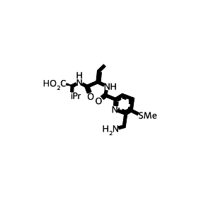 C/C=C(\NC(=O)c1ccc(SC)c(CN)n1)C(=O)N[C@H](C(=O)O)C(C)C